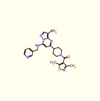 Bc1cnn2c(NCc3cccnc3)cc(C3CCN(C(=O)c4c(C)noc4C)CC3)nc12